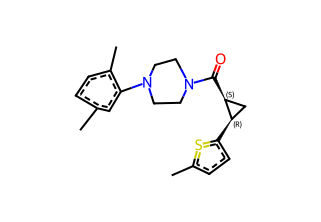 Cc1ccc(C)c(N2CCN(C(=O)[C@H]3C[C@H]3c3ccc(C)s3)CC2)c1